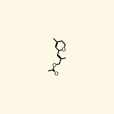 CC(=O)OC/C(C)=C/C1C=C(C)CCO1